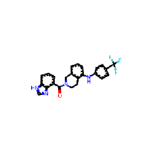 O=C(c1cccc2[nH]cnc12)N1CCc2c(cccc2Nc2ccc(C(F)(F)F)cc2)C1